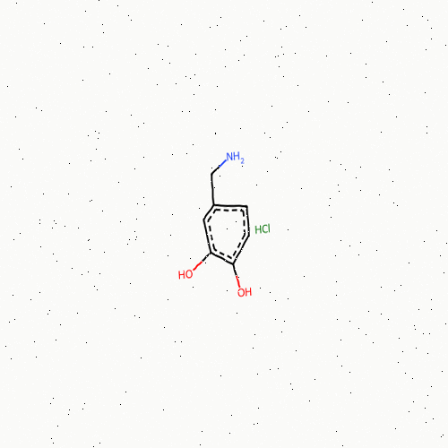 Cl.NCc1ccc(O)c(O)c1